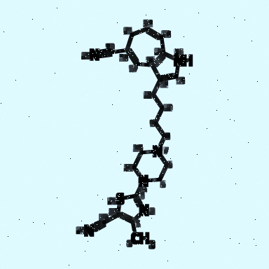 Cc1nc(N2CCN(CCCCc3c[nH]c4c3C=C(C#N)CC=C4)CC2)sc1C#N